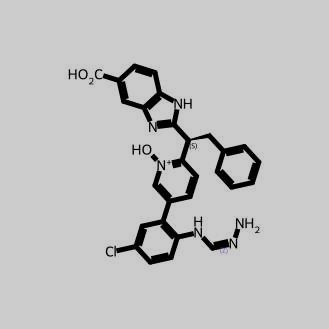 N/N=C\Nc1ccc(Cl)cc1-c1ccc([C@H](Cc2ccccc2)c2nc3cc(C(=O)O)ccc3[nH]2)[n+](O)c1